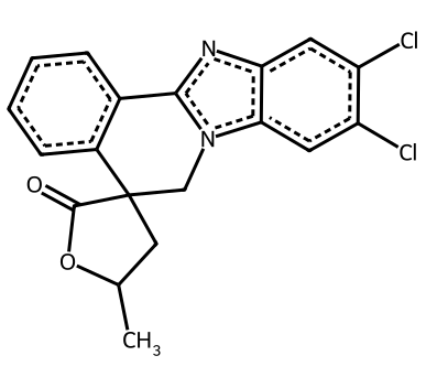 CC1CC2(Cn3c(nc4cc(Cl)c(Cl)cc43)-c3ccccc32)C(=O)O1